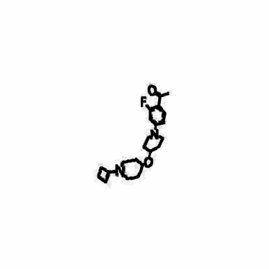 CC(=O)c1ccc(N2CCC(OC3CCN(C4CCC4)CC3)CC2)cc1F